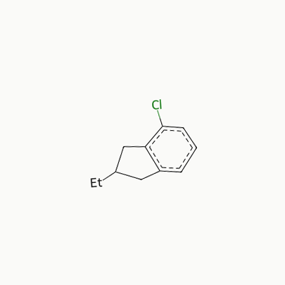 CCC1Cc2cccc(Cl)c2C1